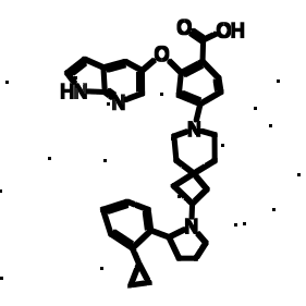 O=C(O)c1ccc(N2CCC3(CC2)CC(N2CCCC2c2ccccc2C2CC2)C3)cc1Oc1cnc2[nH]ccc2c1